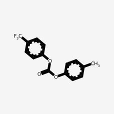 Cc1ccc(OC(=O)Oc2ccc(C(F)(F)F)cc2)cc1